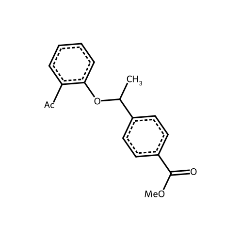 COC(=O)c1ccc(C(C)Oc2ccccc2C(C)=O)cc1